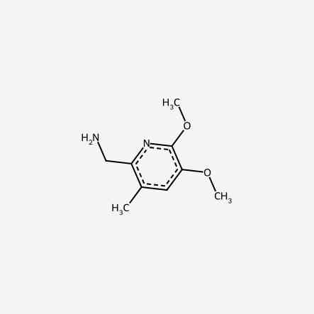 COc1cc(C)c(CN)nc1OC